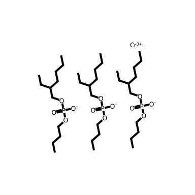 CCCCOP(=O)([O-])OCC(CC)CCCC.CCCCOP(=O)([O-])OCC(CC)CCCC.CCCCOP(=O)([O-])OCC(CC)CCCC.[Cr+3]